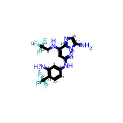 Nc1cc(Nc2cc(NCC(F)(F)F)c3ncc(N)n3n2)ccc1C(F)(F)F